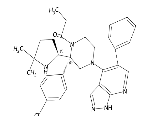 CCC(=O)N1CCN(c2c(-c3ccccc3)cnc3[nH]ncc23)C[C@@]1(c1ccc(Cl)cc1)[C@@H]1CCC(C)(C)N1